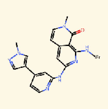 CC(C)Nc1nc(Nc2cc(-c3cnn(C)c3)ccn2)cc2ccn(C)c(=O)c12